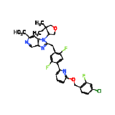 CC1(C)COCC1n1c(Cc2cc(F)c(-c3cccc(OCc4ccc(Cl)cc4F)n3)cc2F)nc2cnc(C(=O)O)cc21